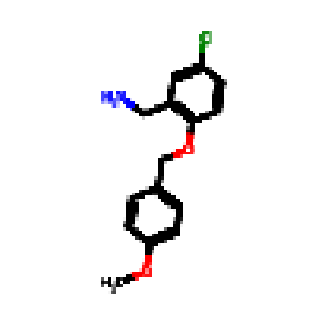 COc1ccc(COc2ccc(Cl)cc2CN)cc1